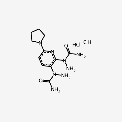 Cl.Cl.NC(=O)N(N)c1ccc(N2CCCC2)nc1N(N)C(N)=O